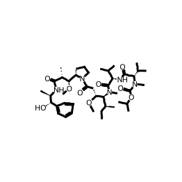 CC[C@H](C)[C@@H]([C@@H](CC(=O)N1CCC[C@H]1[C@H](OC)[C@@H](C)C(=O)N[C@H](C)[C@@H](O)c1ccccc1)OC)N(C)C(=O)[C@@H](NC(=O)[C@H](C(C)C)N(C)C(=O)OC(C)C)C(C)C